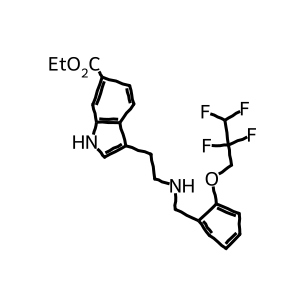 CCOC(=O)c1ccc2c(CCNCc3ccccc3OCC(F)(F)C(F)F)c[nH]c2c1